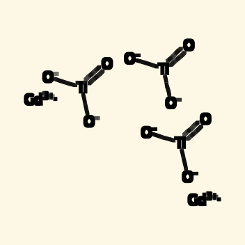 [Gd+3].[Gd+3].[O]=[Ti]([O-])[O-].[O]=[Ti]([O-])[O-].[O]=[Ti]([O-])[O-]